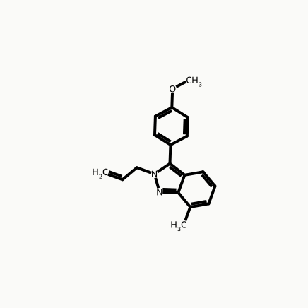 C=CCn1nc2c(C)cccc2c1-c1ccc(OC)cc1